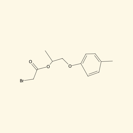 Cc1ccc(OCC(C)OC(=O)CBr)cc1